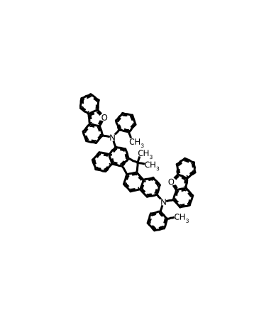 Cc1ccccc1N(c1ccc2c3c(ccc2c1)-c1c(cc(N(c2ccccc2C)c2cccc4c2oc2ccccc24)c2ccccc12)C3(C)C)c1cccc2c1oc1ccccc12